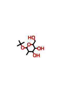 CC1C(OC(C)(C)C)OC(CO)C(O)C1O